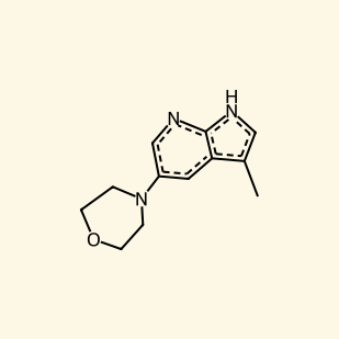 Cc1c[nH]c2ncc(N3CCOCC3)cc12